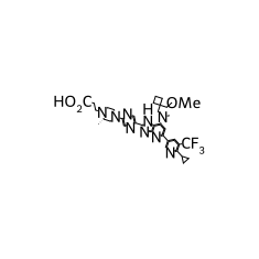 COCC1(CN(C)c2cc(-c3cnc(C4CC4)c(C(F)(F)F)c3)nc3nc(-c4cnc(N5CCN(CCC(=O)O)[C@@H](C)C5)cn4)[nH]c23)CCC1